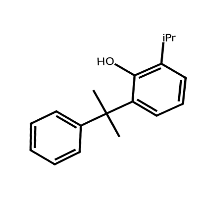 CC(C)c1cccc(C(C)(C)c2ccccc2)c1O